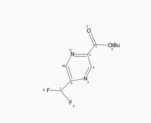 CC(C)COC(=O)c1cnc(C(F)F)cn1